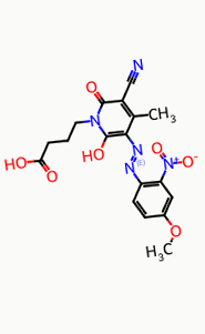 COc1ccc(/N=N/c2c(C)c(C#N)c(=O)n(CCCC(=O)O)c2O)c([N+](=O)[O-])c1